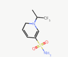 CC(N1C=C(S(N)(=O)=O)C=CC1)C(F)(F)F